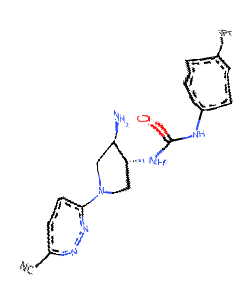 CC(C)c1ccc(NC(=O)N[C@@H]2CN(c3ccc(C#N)nn3)C[C@H]2N)cc1